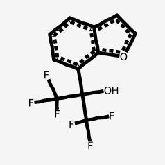 OC(c1cccc2ccoc12)(C(F)(F)F)C(F)(F)F